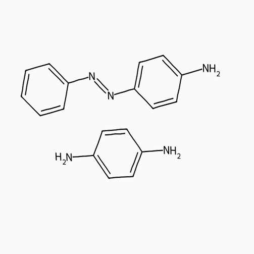 Nc1ccc(/N=N/c2ccccc2)cc1.Nc1ccc(N)cc1